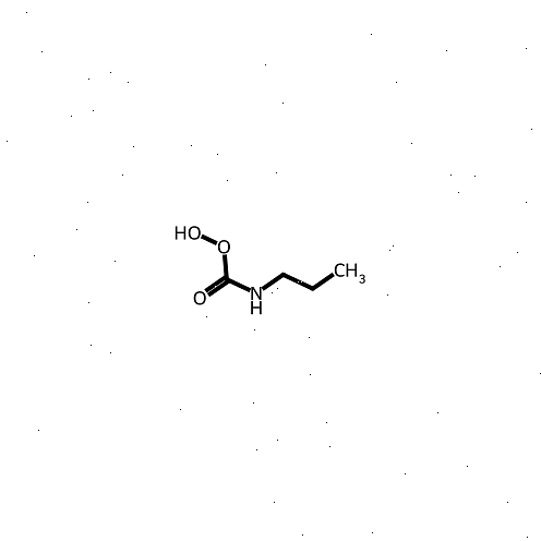 CCCNC(=O)OO